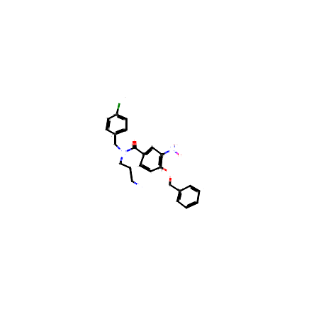 NCCCN(Cc1ccc(F)cc1)C(=O)c1ccc(OCc2ccccc2)c([N+](=O)[O-])c1